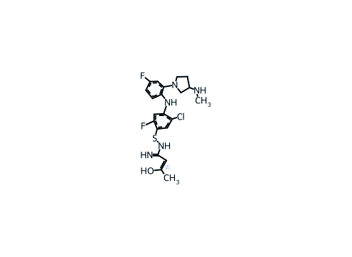 CNC1CCN(c2cc(F)ccc2Nc2cc(F)c(SNC(=N)/C=C(/C)O)cc2Cl)C1